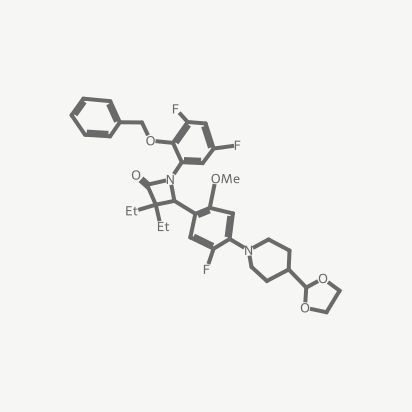 CCC1(CC)C(=O)N(c2cc(F)cc(F)c2OCc2ccccc2)C1c1cc(F)c(N2CCC(C3OCCO3)CC2)cc1OC